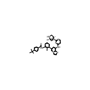 Cc1c(NC(=O)c2ccc(C(C)(C)C)cc2)cccc1-c1cc(Nc2ccnc(N3C[C@@H]4C[C@@]3(C)CN4)n2)c2nccn2c1